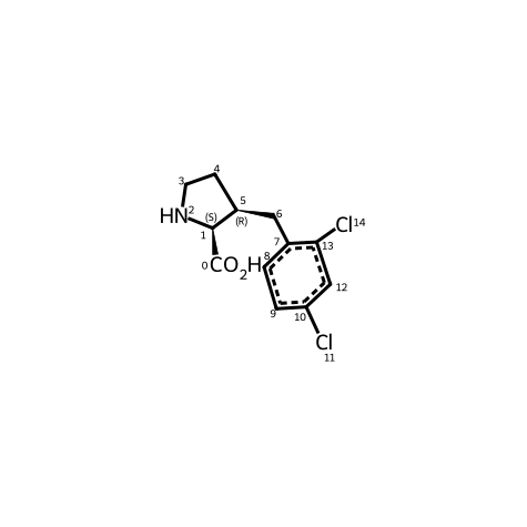 O=C(O)[C@H]1NCC[C@H]1Cc1ccc(Cl)cc1Cl